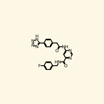 O=C(Cc1ccc(-c2nnn[nH]2)cc1)Nc1cc(C(=O)NCc2ccc(F)cc2)ncn1